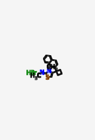 Br.CN=c1scc(C2(c3ccc4ccccc4c3)CCC2)n1C